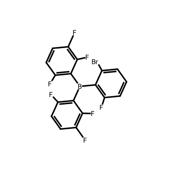 Fc1ccc(F)c(B(c2c(F)cccc2Br)c2c(F)ccc(F)c2F)c1F